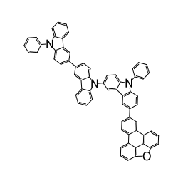 c1ccc(-n2c3ccccc3c3cc(-c4ccc5c(c4)c4ccccc4n5-c4ccc5c(c4)c4cc(-c6ccc7c(c6)c6cccc8oc9cccc7c9c86)ccc4n5-c4ccccc4)ccc32)cc1